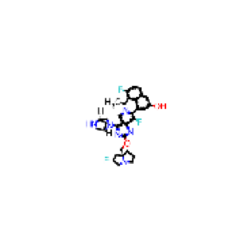 CCc1c(F)ccc2cc(O)cc(-c3ncc4c(N5C[C@H]6C[C@@H]5CN6)nc(OC[C@@]56CCCN5C[C@H](F)C6)nc4c3F)c12